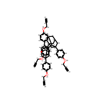 C#CCOc1ccc(C23CC4CC(C2)C(C2C5CC6CC(c7ccc(OCC#C)cc7)(C5)CC2(c2ccc(OCC#C)cc2)C6)C(c2ccc(OCC#C)cc2)(C4)C3)cc1